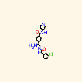 NC(CNC(=O)Cc1cccc(Cl)c1)c1ccc(C(=O)Nc2ccncc2)cc1